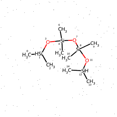 C[SiH](C)O[Si](C)(C)O[Si](C)(C)O[SiH](C)C